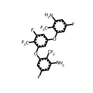 Nc1cc(F)cc(Oc2cc(F)c(C(F)(F)F)c(Oc3cc(F)cc(N)c3C(F)(F)F)c2)c1C(F)(F)F